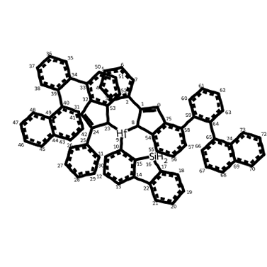 C1=C(c2ccccc2)[CH]([Hf]([c]2cccc3c2[SiH2]c2ccccc2-3)[CH]2C(c3ccccc3)=Cc3c(-c4ccccc4-c4cccc5ccccc45)cccc32)c2cccc(-c3ccccc3-c3cccc4ccccc34)c21